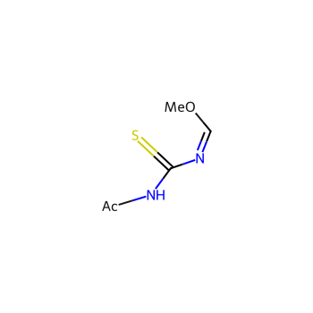 CO/C=N\C(=S)NC(C)=O